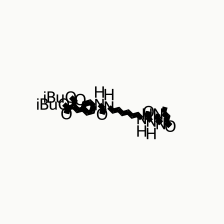 Cc1cc(=O)nc(NC(=O)NCCCCCCNC(=O)Nc2ccc(C=C(C(=O)OCC(C)C)C(=O)OCC(C)C)cc2)[nH]1